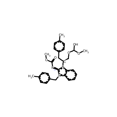 COC(=O)/N=c1/n(Cc2ccc(C)cc2)c2ccccc2n1[C@H](COC(O)OC)Cc1ccc(C)cc1